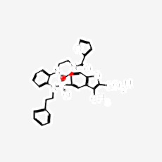 Cc1c(C(=O)O)oc2ccc(S(=O)(=O)N(CCc3ccccc3)c3ccccc3N3CCN(C(=O)c4ccco4)CC3)cc12